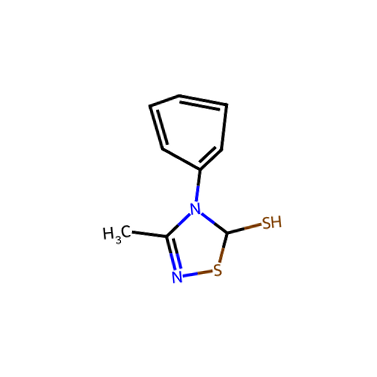 CC1=NSC(S)N1c1ccccc1